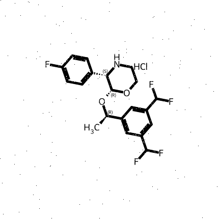 C[C@@H](O[C@H]1OCCN[C@H]1c1ccc(F)cc1)c1cc(C(F)F)cc(C(F)F)c1.Cl